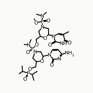 COP(=O)(N(C)C)N1CC(COP(=O)(N(C)C)N2CC(COP(=O)(C(C)C)C(C)C)OC(n3ccc(N)nc3=O)C2)OC(n2cc(C)c(=O)[nH]c2=O)C1